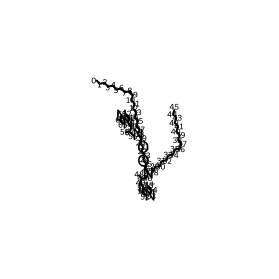 CCCCCCCC/C=C\CCCCCCCCN(CCOCCOCCN(CCCCCCCC/C=C\CCCCCCCC)CC(C)C[n+]1ccncc1)CC(C)C[n+]1ccncc1